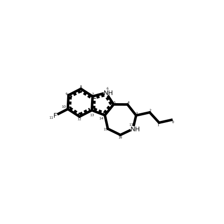 CCCC1Cc2[nH]c3ccc(F)cc3c2CCN1